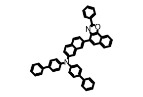 c1ccc(-c2ccc(N(c3ccc(-c4ccccc4)cc3)c3ccc4ccc(-c5cc6ccccc6c6oc(-c7ccccc7)nc56)cc4c3)cc2)cc1